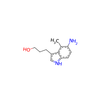 Cc1c(N)ccc2[nH]cc(CCCO)c12